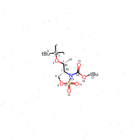 C[C@@H](O[Si](C)(C)C(C)(C)C)[C@H]1COS(=O)(=O)N1C(=O)OC(C)(C)C